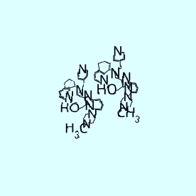 CN1CCN(c2cccc3nc(CN(Cc4ccncc4)[C@H]4CCCc5cccnc54)c(CO)n23)CC1.CN1CCN(c2cccc3nc(CN(Cc4ccncc4)[C@H]4CCCc5cccnc54)c(CO)n23)CC1